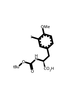 COc1ccc(C[C@H](NC(=O)OC(C)(C)C)C(=O)O)cc1I